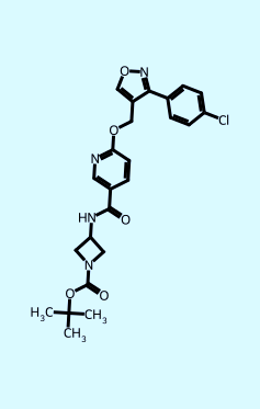 CC(C)(C)OC(=O)N1CC(NC(=O)c2ccc(OCc3conc3-c3ccc(Cl)cc3)nc2)C1